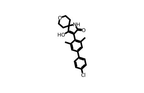 Cc1cc(-c2ccc(Cl)cc2)cc(C)c1C1=C(O)C2(CCOCC2)NC1=O